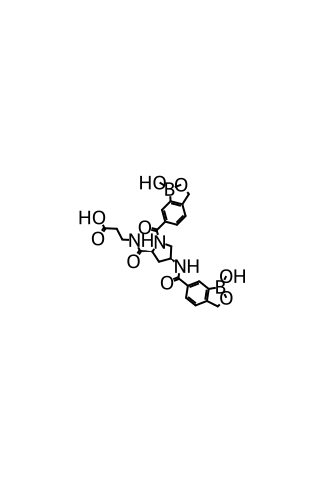 O=C(O)CCNC(=O)[C@@H]1C[C@H](NC(=O)c2ccc3c(c2)B(O)OC3)CN1C(=O)c1ccc2c(c1)B(O)OC2